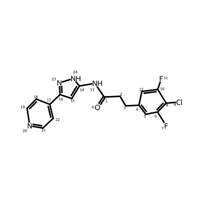 O=C(CCc1cc(F)c(Cl)c(F)c1)Nc1cc(-c2ccncc2)n[nH]1